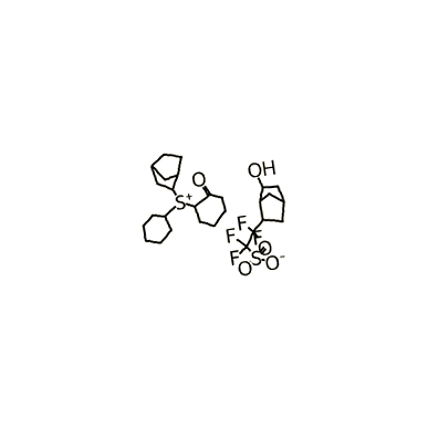 O=C1CCCCC1[S+](C1CCCCC1)C1CC2CCC1C2.O=S(=O)([O-])C(F)(F)C(F)(F)C1CC2CC(O)C1C2